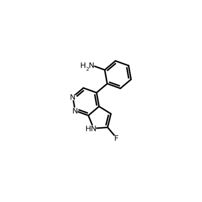 Nc1ccccc1-c1cnnc2[nH]c(F)cc12